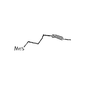 [CH2]SCCCC#CC